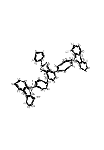 c1ccc(-c2nc3c(-c4ccc(-n5c6ccccc6c6ccccc65)cc4)ccc(-c4ccc(-n5c6ccccc6c6ccccc65)cc4)c3s2)cc1